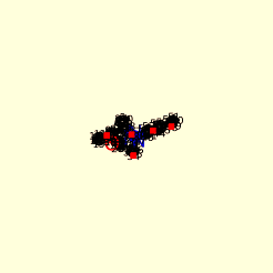 CC1CC=Cc2c(-c3ccc(-c4ccccc4)c4oc5ccccc5c34)cc(-c3nc(-c4ccccc4)nc(-c4ccc(C5=CC=C(c6ccccc6)CC5)cc4)n3)cc21